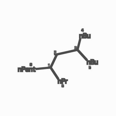 CCCCCC([CH]C(CCCC)CCCC)CCC